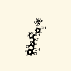 NS(=O)(=O)OC[C@H]1C[C@@H](Nc2ncncc2C(=O)c2cc([C@H](O)c3ccccc3Cl)c(Cl)s2)C[C@@H]1O